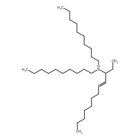 CCCCCCCC=CC(CC)[SiH](CCCCCCCCCC)CCCCCCCCCC